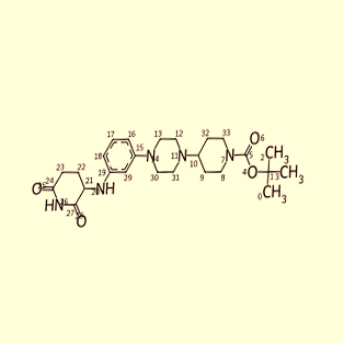 CC(C)(C)OC(=O)N1CCC(N2CCN(c3cccc(NC4CCC(=O)NC4=O)c3)CC2)CC1